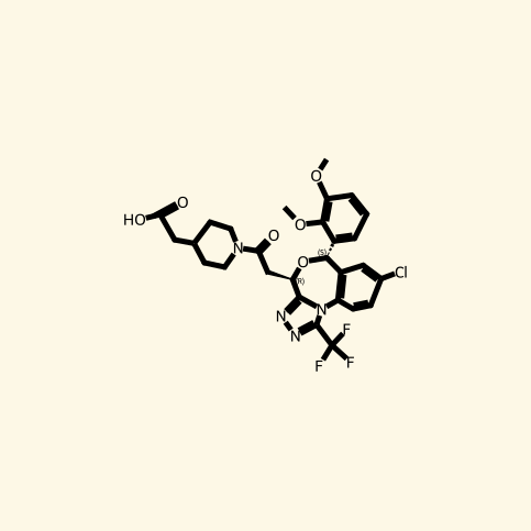 COc1cccc([C@H]2O[C@H](CC(=O)N3CCC(CC(=O)O)CC3)c3nnc(C(F)(F)F)n3-c3ccc(Cl)cc32)c1OC